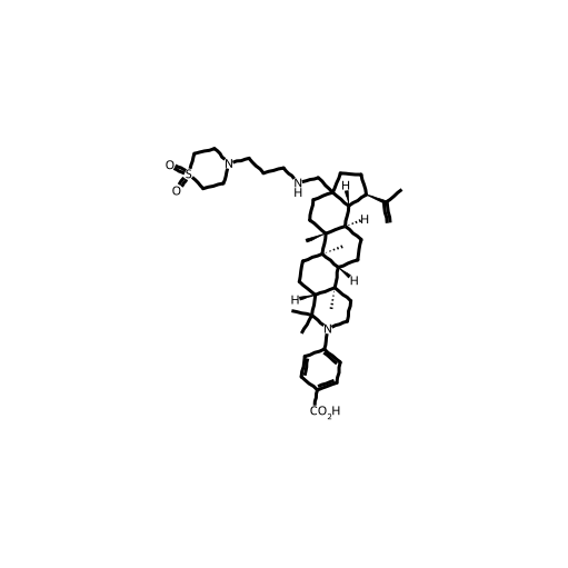 C=C(C)[C@@H]1CCC2(CNCCCN3CCS(=O)(=O)CC3)CC[C@]3(C)[C@H](CC[C@@H]4[C@@]5(C)CCN(c6ccc(C(=O)O)cc6)C(C)(C)[C@@H]5CC[C@]43C)[C@@H]12